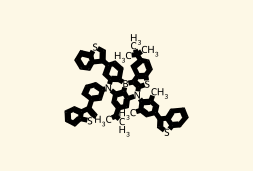 Cc1cc(-c2csc3ccccc23)cc(C)c1N1c2cc(C(C)C)cc3c2B(c2ccc(-c4csc5ccccc45)cc2N3c2cccc(-c3csc4ccccc34)c2)c2c1sc1ccc(C(C)(C)C)cc21